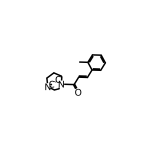 Cc1ccccc1C=CC(=O)N1CCN2CCC1CC2